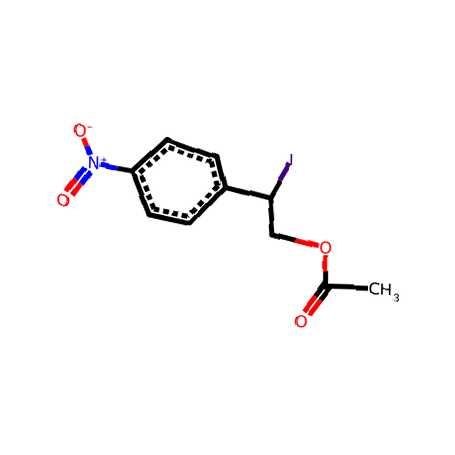 CC(=O)OCC(I)c1ccc([N+](=O)[O-])cc1